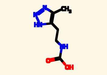 Cc1nn[nH]c1CCNC(=O)O